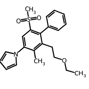 CCOCCc1c(C)c(-n2cccc2)cc(S(C)(=O)=O)c1-c1ccccc1